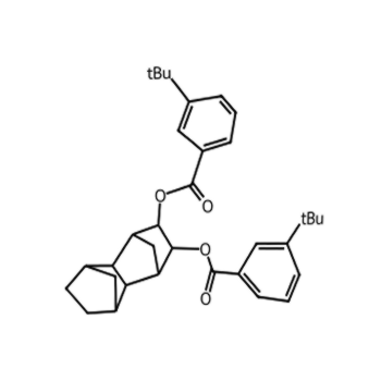 CC(C)(C)c1cccc(C(=O)OC2C3CC(C2OC(=O)c2cccc(C(C)(C)C)c2)C2C4CCC(C4)C32)c1